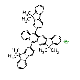 CC1(C)c2ccccc2-c2ccc(-c3c4ccccc4c(-c4ccc5c(c4)C(C)(C)c4ccccc4-5)c4cc5c(cc34)-c3ccc(Br)cc3C5(C)C)cc21